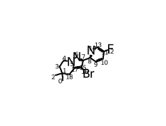 CC1(C)CCn2nc(-c3ccc(F)cn3)c(Br)c2C1